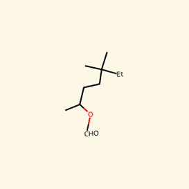 CCC(C)(C)CCC(C)OC=O